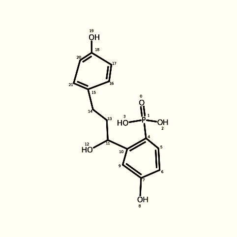 O=P(O)(O)c1ccc(O)cc1C(O)CCc1ccc(O)cc1